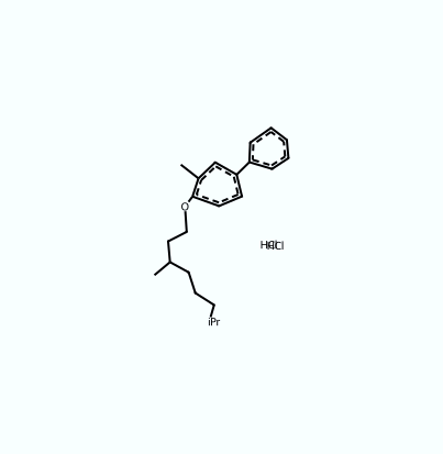 Cc1cc(-c2ccccc2)ccc1OCCC(C)CCCC(C)C.Cl.Cl